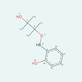 CC(C)(O)C(C)(C)OBc1ccccc1O